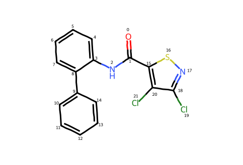 O=C(Nc1ccccc1-c1ccccc1)c1snc(Cl)c1Cl